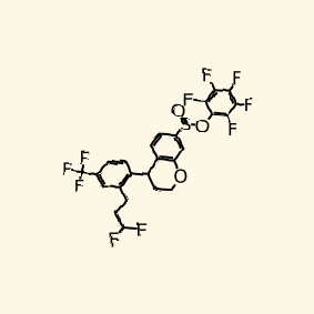 O=S(Oc1c(F)c(F)c(F)c(F)c1F)c1ccc2c(c1)OCCC2c1ccc(C(F)(F)F)cc1CCC(F)F